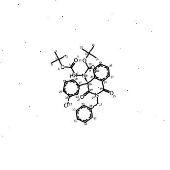 CC(C)(C)OC(=O)NN(C(=O)OC(C)(C)C)[C@]1(c2cccc(Cl)c2)C(=O)N(Cc2ccccc2)C(=O)c2ccccc21